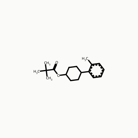 Cc1ccccc1C1CCC(OC(=O)C(C)(C)C)CC1